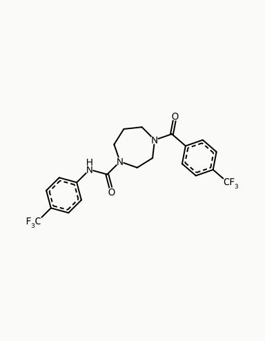 O=C(Nc1ccc(C(F)(F)F)cc1)N1CCCN(C(=O)c2ccc(C(F)(F)F)cc2)CC1